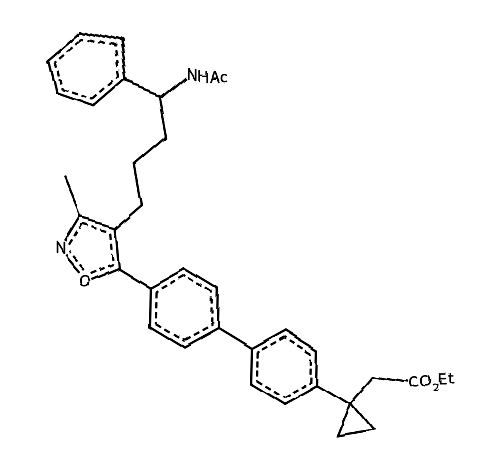 CCOC(=O)CC1(c2ccc(-c3ccc(-c4onc(C)c4CCCC(NC(C)=O)c4ccccc4)cc3)cc2)CC1